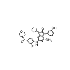 Nc1nc(Nc2ccc(C(=O)N3CCOCC3)cc2F)nc2c1n(-c1cccc(O)c1)c(=O)n2C1CCCC1